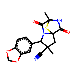 CC12NC(=O)C3(CC(C)(C#N)C(c4ccc5c(c4)OCO5)N3C1=O)S2